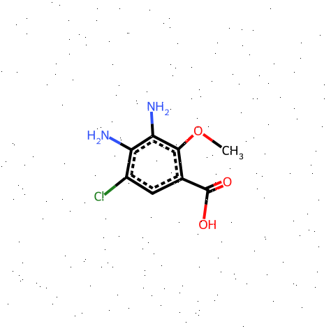 COc1c(C(=O)O)cc(Cl)c(N)c1N